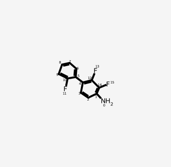 Nc1ccc(-c2ccccc2F)c(F)c1F